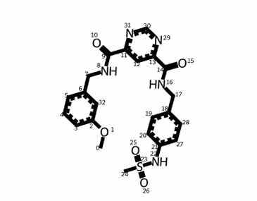 COc1cccc(CNC(=O)c2cc(C(=O)NCc3ccc(NS(C)(=O)=O)cc3)ncn2)c1